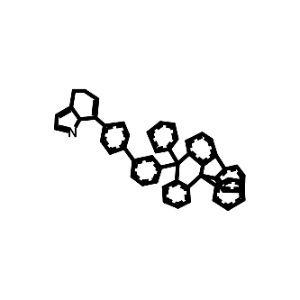 C1=NC2C(=C1)CCC=C2c1ccc(-c2cccc(C3(c4ccccc4)c4ccccc4C4(c5ccccc5)c5ccccc5-c5cccc3c54)c2)cc1